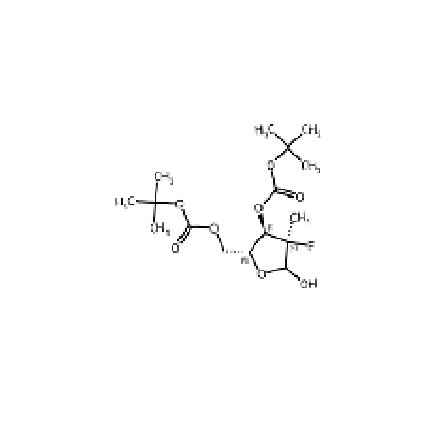 CC(C)(C)OC(=O)OC[C@H]1OC(O)[C@](C)(F)[C@@H]1OC(=O)OC(C)(C)C